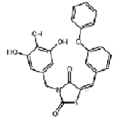 O=C1S/C(=C/c2cccc(Oc3ccccc3)c2)C(=O)N1Cc1cc(O)c(O)c(O)c1